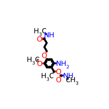 CNC(=O)CCCOc1cc(N)c(C(C)OC(=O)NC)cc1OC